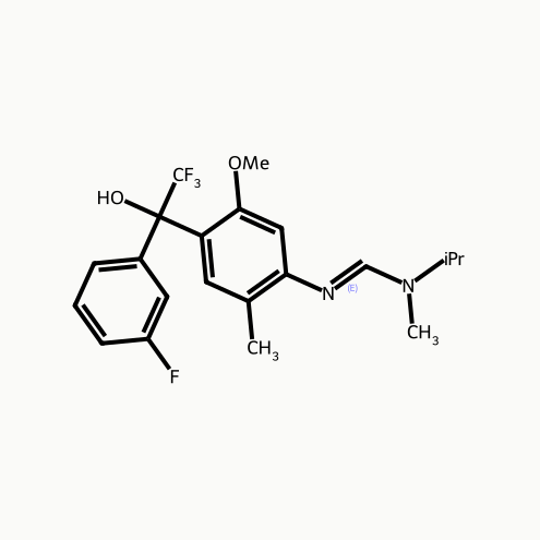 COc1cc(/N=C/N(C)C(C)C)c(C)cc1C(O)(c1cccc(F)c1)C(F)(F)F